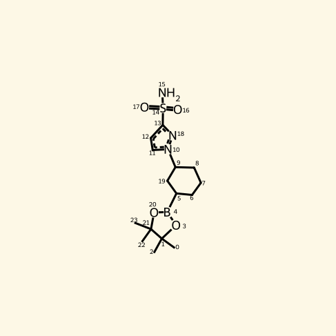 CC1(C)OB(C2CCCC(n3ccc(S(N)(=O)=O)n3)C2)OC1(C)C